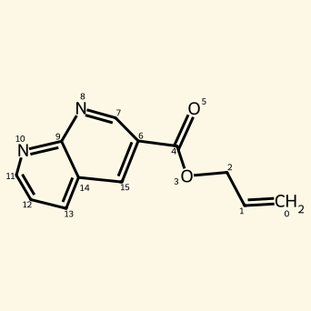 C=CCOC(=O)c1cnc2ncccc2c1